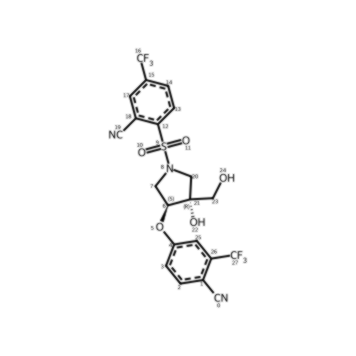 N#Cc1ccc(O[C@H]2CN(S(=O)(=O)c3ccc(C(F)(F)F)cc3C#N)C[C@@]2(O)CO)cc1C(F)(F)F